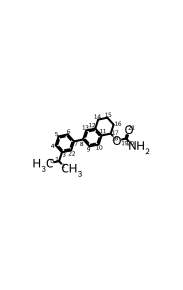 CC(C)c1cccc(-c2ccc3c(c2)CCCC3OC(N)=O)c1